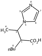 CCCCC(C(=O)O)C(C)n1ccnc1